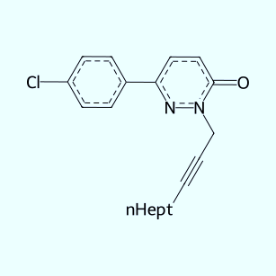 CCCCCCCC#CCn1nc(-c2ccc(Cl)cc2)ccc1=O